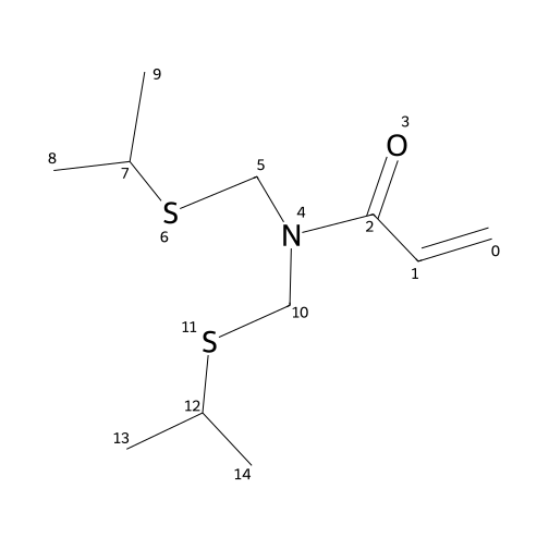 C=CC(=O)N(CSC(C)C)CSC(C)C